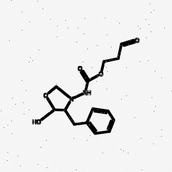 O=CCCOC(=O)NN1COC(O)C1Cc1ccccc1